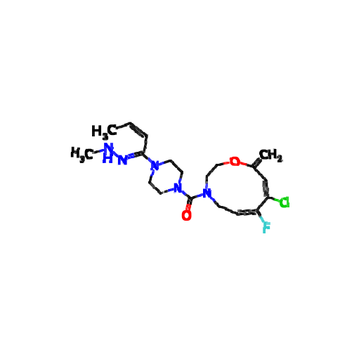 C=C1/C=C(Cl)\C(F)=C/CN(C(=O)N2CCN(C(/C=C\C)=N/NC)CC2)CCO1